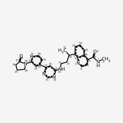 CNC(=O)c1ccnc2c(C(C)CCNc3cc(-c4ccnc(N5CCCC5=O)c4)ncn3)cccc12